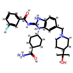 CC(C)(O)C1CCN(Cc2ccc3[nH]/c(=N\C(=O)c4cccc(F)c4)n([C@H]4CC[C@H](C(N)=O)CC4)c3c2)CC1